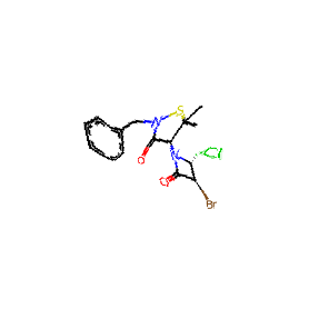 CC1(C)SN(Cc2ccccc2)C(=O)[C@@H]1N1C(=O)[C@H](Br)[C@H]1Cl